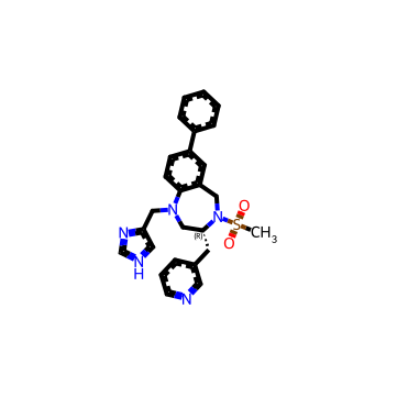 CS(=O)(=O)N1Cc2cc(-c3ccccc3)ccc2N(Cc2c[nH]cn2)C[C@H]1Cc1cccnc1